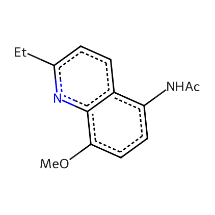 CCc1ccc2c(NC(C)=O)ccc(OC)c2n1